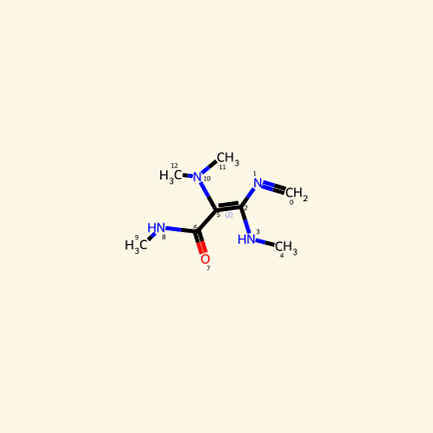 C=N/C(NC)=C(/C(=O)NC)N(C)C